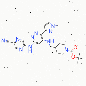 Cn1ccc(-c2nnc(Nc3cnc(C#N)cn3)cc2NCC2CCN(C(=O)OC(C)(C)C)CC2)n1